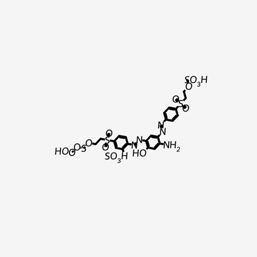 Nc1cc(O)c(/N=N/c2ccc(S(=O)(=O)CCOSOOO)cc2S(=O)(=O)O)cc1/N=N/c1ccc(S(=O)(=O)CCOS(=O)(=O)O)cc1